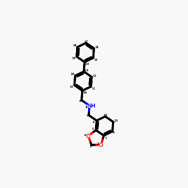 C1=C2OCOC2=C(CNCc2ccc(-c3ccccc3)cc2)CC1